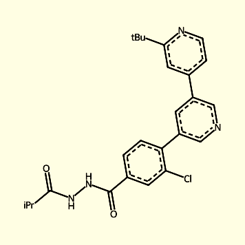 CC(C)C(=O)NNC(=O)c1ccc(-c2cncc(-c3ccnc(C(C)(C)C)c3)c2)c(Cl)c1